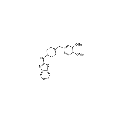 COc1ccc(CN2CCC(Nc3nc4ccccc4o3)CC2)cc1OCC(C)C